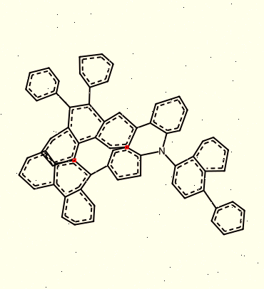 c1ccc(-c2ccc(N(c3ccc(-c4cc5ccccc5c5ccccc45)cc3)c3ccccc3-c3ccc4c(c3)c(-c3ccccc3)c(-c3ccccc3)c3ccccc34)c3ccccc23)cc1